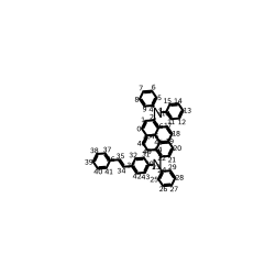 C1=CC(N(c2ccccc2)c2ccccc2)=C2C=Cc3ccc(N(c4ccccc4)c4ccc(C=Cc5ccccc5)cc4)c4c3C2C1=CC4